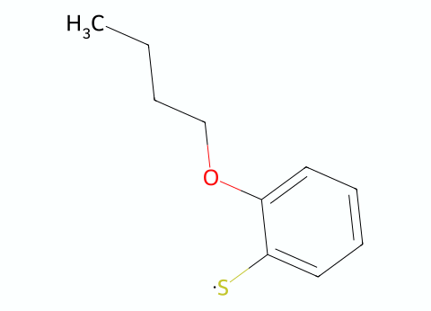 CCCCOc1ccccc1[S]